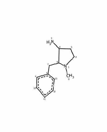 CN1CCC(N)C1Cc1ccccc1